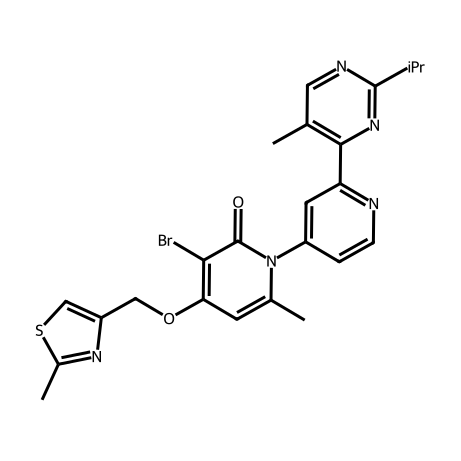 Cc1nc(COc2cc(C)n(-c3ccnc(-c4nc(C(C)C)ncc4C)c3)c(=O)c2Br)cs1